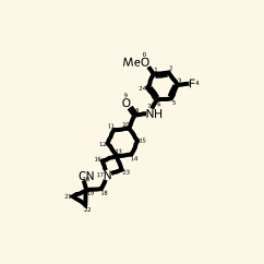 COc1cc(F)cc(NC(=O)C2CCC3(CC2)CN(CC2(C#N)CC2)C3)c1